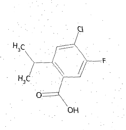 CC(C)c1cc(Cl)c(F)cc1C(=O)O